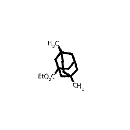 CCOC(=O)C12CC3CC(C)(CC(C)(C3)C1)C2